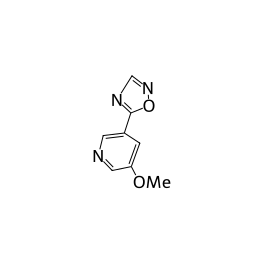 COc1cncc(-c2ncno2)c1